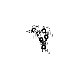 Cc1ccc(S(=O)(=O)N(Cc2ccccc2)c2ccc(Nc3nc(N4C[C@H](N)C[C@H](N)C4)nc(N4C[C@H](O)C[C@@H](O)C4)n3)cc2O)cc1